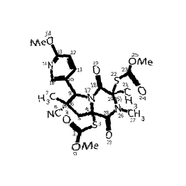 COC(=O)SC12C[C@](C)(C#N)C(c3ccc(OC)nc3)N1C(=O)[C@](C)(SC(=O)OC)N(C)C2=O